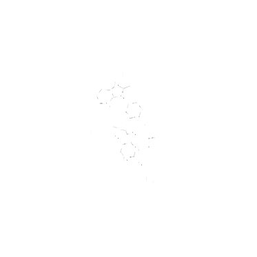 CCN(CC)c1ncc(N(C(C)C)S(C)(=O)=O)c(N[C@@H](Cc2ccc(-n3c(=O)n(C)c4cccnc43)cc2)C(=O)O)n1